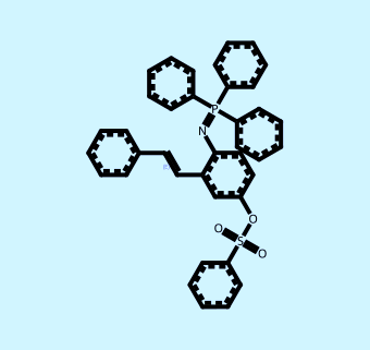 O=S(=O)(Oc1ccc(N=P(c2ccccc2)(c2ccccc2)c2ccccc2)c(/C=C/c2ccccc2)c1)c1ccccc1